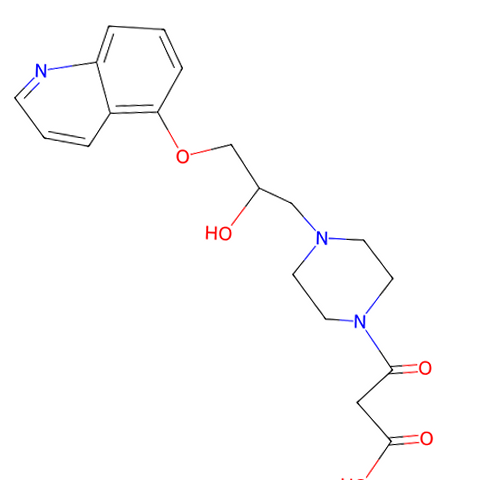 O=C(O)CC(=O)N1CCN(CC(O)COc2cccc3ncccc23)CC1